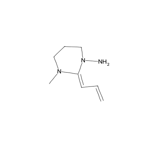 C=C/C=C1/N(C)CCCN1N